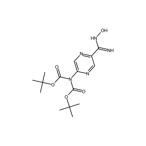 CC(C)(C)OC(=O)N(C(=O)OC(C)(C)C)c1cnc(C(=N)NO)cn1